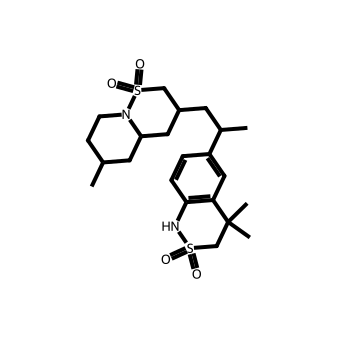 CC1CCN2C(C1)CC(CC(C)c1ccc3c(c1)C(C)(C)CS(=O)(=O)N3)CS2(=O)=O